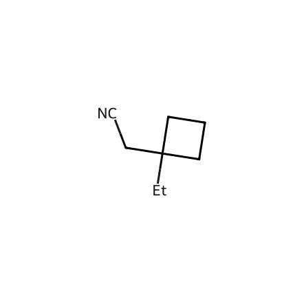 CCC1(CC#N)CCC1